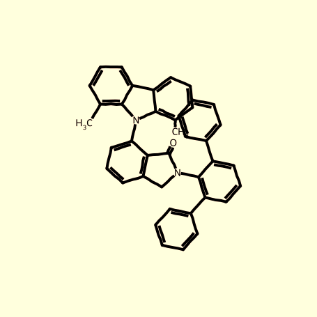 Cc1cccc2c3cccc(C)c3n(-c3cccc4c3C(=O)N(c3c(-c5ccccc5)cccc3-c3ccccc3)C4)c12